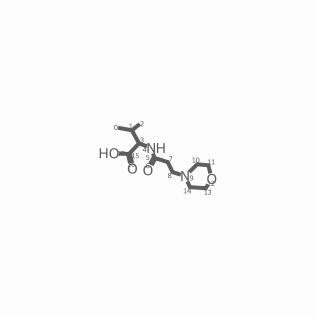 CC(C)C(NC(=O)CCN1CCOCC1)C(=O)O